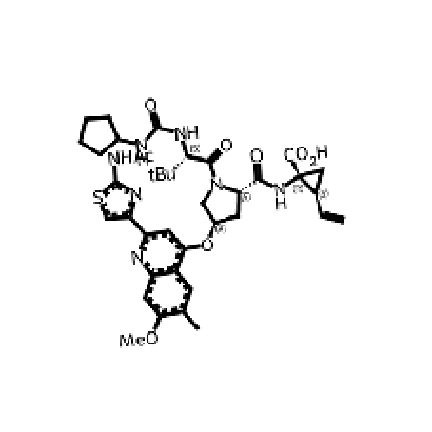 C=C[C@@H]1C[C@]1(NC(=O)[C@@H]1C[C@@H](Oc2cc(-c3csc(NC(C)=O)n3)nc3cc(OC)c(C)cc23)CN1C(=O)[C@@H](NC(=O)NC1CCCC1)C(C)(C)C)C(=O)O